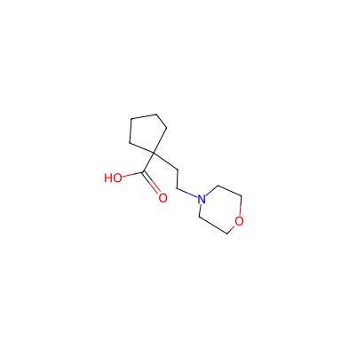 O=C(O)C1(CCN2CCOCC2)CCCC1